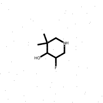 CC1(C)CNCC(F)C1O